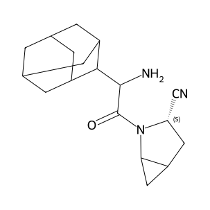 N#C[C@@H]1CC2CC2N1C(=O)C(N)C1C2CC3CC(C2)CC1C3